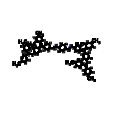 Cc1ccc(C(=Cc2ccc(N(c3ccc(/C=C/c4ccc(/C=C/c5ccc(N(c6ccc(C=C(c7ccc(C)cc7)c7ccc(C)cc7)cc6)c6ccc(C)cc6C)cc5)cc4)cc3)c3ccc(C)cc3C)cc2)c2ccc(C)cc2)cc1